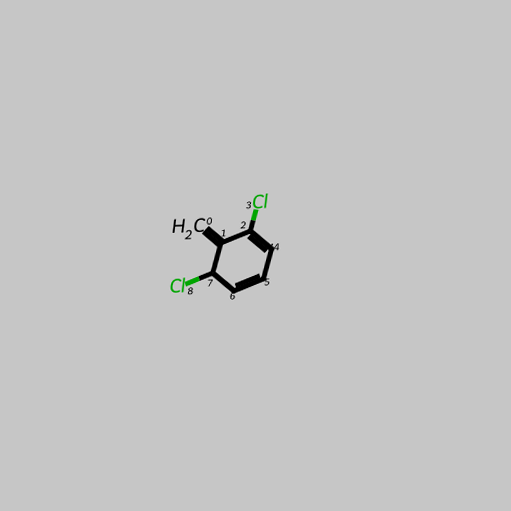 C=C1C(Cl)=[C]C=CC1Cl